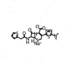 CN(C)c1nnc(C2=C(C(=O)[O-])N3C(=O)C(NC(=O)Cc4cccs4)[C@@H]3SC2)s1.[Na+]